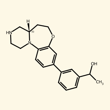 CC(O)c1cccc(-c2ccc3c(c2)OCC[C@H]2CNCCN32)c1